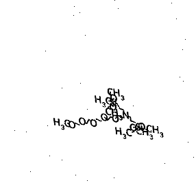 CCO[Si](C)(CCCN(CCC[Si](C)(OCC)OCC)CCOCCOCCOCCOCCOC)OCC